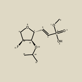 COP(=O)(O)/C=C/[C@H]1OC[C@H](F)[C@@H]1OC(C)C